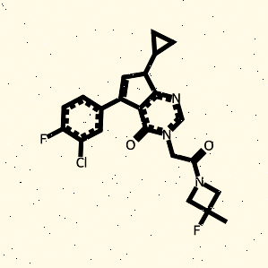 CC1(F)CN(C(=O)Cn2cnc3c(c2=O)C(c2ccc(F)c(Cl)c2)=CC3C2CC2)C1